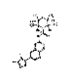 BC1(B)OC(B)(B)C(B)(B)N(C(=O)Nc2cc3cc(-c4cnc(C)n4C)cnc3cn2)C1(B)B